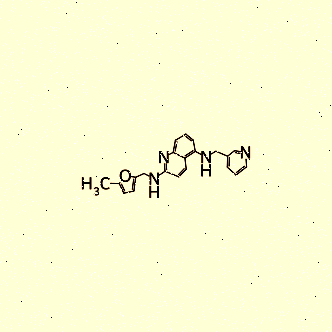 Cc1ccc(CNc2ccc3c(NCc4cccnc4)cccc3n2)o1